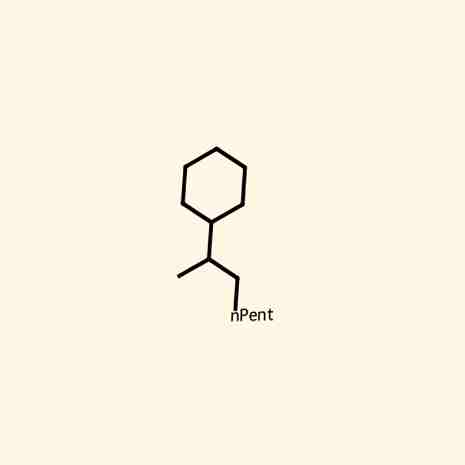 CCCCCCC(C)C1CCCCC1